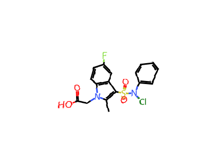 Cc1c(S(=O)(=O)N(Cl)c2ccccc2)c2cc(F)ccc2n1CC(=O)O